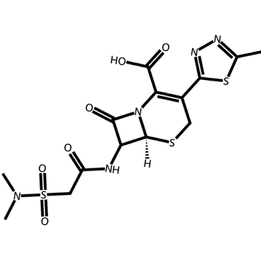 Cc1nnc(C2=C(C(=O)O)N3C(=O)C(NC(=O)CS(=O)(=O)N(C)C)[C@@H]3SC2)s1